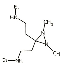 CCNCCC1(CCNCC)N(C)N1C